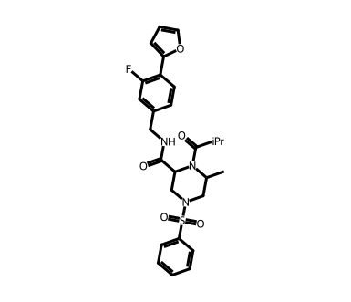 CC(C)C(=O)N1C(C)CN(S(=O)(=O)c2ccccc2)CC1C(=O)NCc1ccc(-c2ccco2)c(F)c1